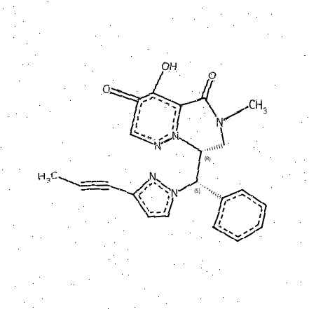 CC#Cc1ccn([C@@H](c2ccccc2)[C@H]2CN(C)C(=O)c3c(O)c(=O)cnn32)n1